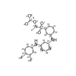 CN(OC(=O)C(F)(F)F)S(=O)(=O)c1cccc(Nc2cc(Nc3ccc(F)c(F)c3)ncn2)c1